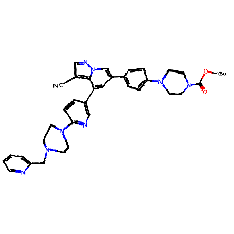 CC(C)(C)OC(=O)N1CCN(c2ccc(-c3cc(-c4ccc(N5CCN(Cc6ccccn6)CC5)nc4)c4c(C#N)cnn4c3)cc2)CC1